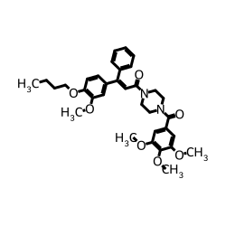 CCCCOc1ccc(C(=CC(=O)N2CCN(C(=O)c3cc(OC)c(OC)c(OC)c3)CC2)c2ccccc2)cc1OC